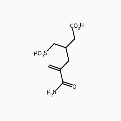 C=C(CC(CC(=O)O)CS(=O)(=O)O)C(N)=O